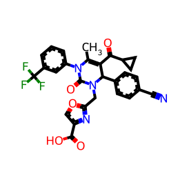 CC1=C(C(=O)C2CC2)C(c2ccc(C#N)cc2)N(Cc2nc(C(=O)O)co2)C(=O)N1c1cccc(C(F)(F)F)c1